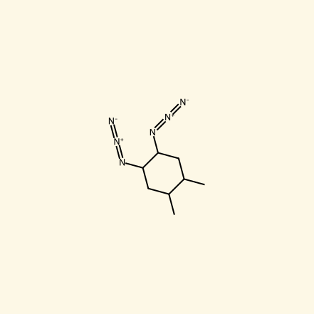 CC1CC(N=[N+]=[N-])C(N=[N+]=[N-])CC1C